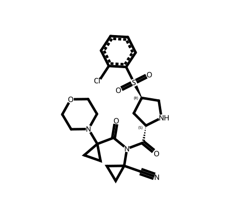 N#CC1(N(C(=O)[C@@H]2C[C@@H](S(=O)(=O)c3ccccc3Cl)CN2)C(=O)C2(N3CCOCC3)CC2)CC1